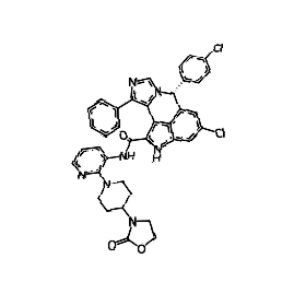 O=C(Nc1cccnc1N1CCC(N2CCOC2=O)CC1)c1[nH]c2cc(Cl)cc3c2c1-c1c(-c2ccccc2)ncn1[C@@H]3c1ccc(Cl)cc1